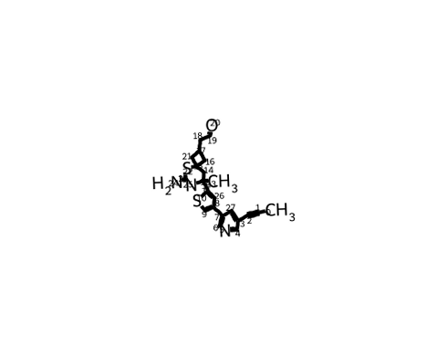 CC#Cc1cncc(-c2csc(C3(C)CC4(CC(CC=O)C4)SC(N)=N3)c2)c1